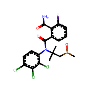 C[S+]([O-])CC(C)(C)N(C(=O)c1cccc(I)c1C(N)=O)c1ccc(Cl)c(Cl)c1Cl